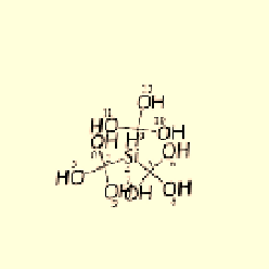 OC(O)(O)[SiH](C(O)(O)O)C(O)(O)O